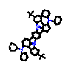 CC(C)(C)c1ccc2c3c(N(c4ccccc4)c4ccccc4)ccc4c5cc6c(cc5n(c2c1)c43)c1ccc(N(c2ccccc2)c2ccccc2)c2c3ccc(C(C)(C)C)cc3n6c12